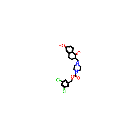 O=C1c2ccc(O)cc2CCC1CN1CCN(C(=O)OCc2cc(Cl)cc(Cl)c2)CC1